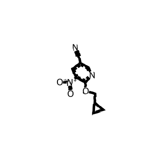 N#Cc1cnc(OCC2CC2)c([N+](=O)[O-])c1